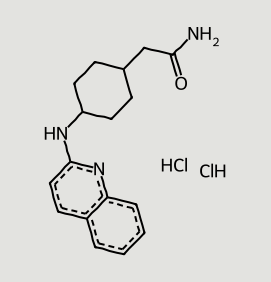 Cl.Cl.NC(=O)CC1CCC(Nc2ccc3ccccc3n2)CC1